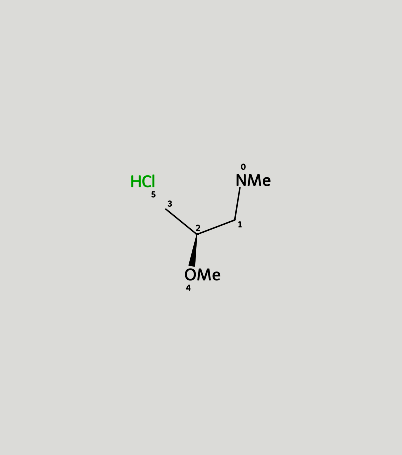 CNC[C@H](C)OC.Cl